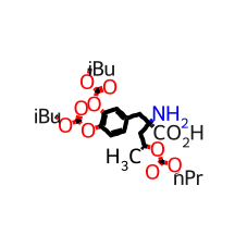 CCCOC(=O)O[C@@H](C)CC(N)(Cc1ccc(OC(=O)OC(C)CC)c(OC(=O)OC(C)CC)c1)C(=O)O